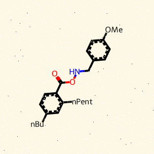 CCCCCc1cc(CCCC)ccc1C(=O)ONCc1ccc(OC)cc1